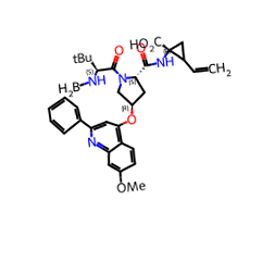 BN[C@H](C(=O)N1C[C@H](Oc2cc(-c3ccccc3)nc3cc(OC)ccc23)C[C@H]1C(=O)N[C@]1(C(=O)O)CC1C=C)C(C)(C)C